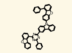 c1ccc(-c2nc(-c3ccc4c(c3)c3ccccc3n4-c3ccc4c(c3)oc3cccc(-c5ccccc5)c34)nc(-c3cccc4oc5ccccc5c34)n2)cc1